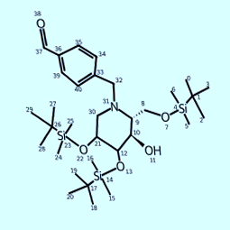 CC(C)(C)[Si](C)(C)OC[C@@H]1[C@@H](O)C(O[Si](C)(C)C(C)(C)C)C(O[Si](C)(C)C(C)(C)C)CN1Cc1ccc(C=O)cc1